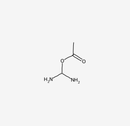 CC(=O)OC(N)N